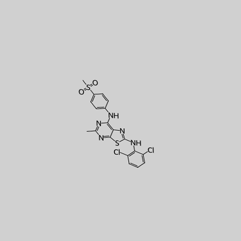 Cc1nc(Nc2ccc(S(C)(=O)=O)cc2)c2nc(Nc3c(Cl)cccc3Cl)sc2n1